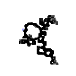 COc1ccc2c(OC3CC4C(=O)NC5(C(=O)O)CC5/C=C/CCCSCC(NC(=O)OC(C)(C)C)C(=O)N4C3)nccc2c1